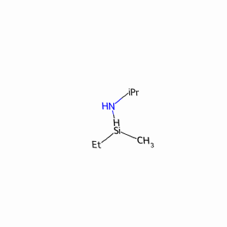 CC[SiH](C)NC(C)C